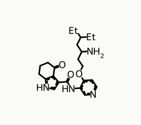 CCC(CC)CC(N)CCOc1ccncc1NC(=O)c1c[nH]c2c1C(=O)CCC2